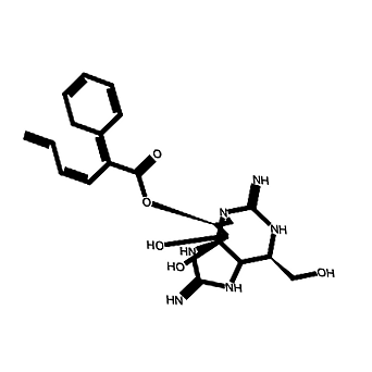 C=C/C=C\C(C(=O)O[C@H]1CN2C(=N)N[C@@H](CO)C3NC(=N)N[C@@]32C1(O)O)=C1\C=CC=CC1